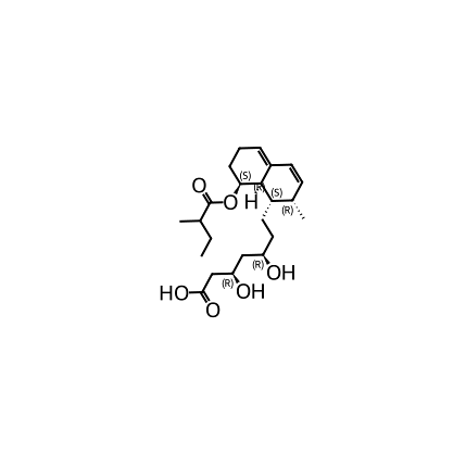 CCC(C)C(=O)O[C@H]1CCC=C2C=C[C@H](C)[C@H](CC[C@@H](O)C[C@@H](O)CC(=O)O)[C@H]21